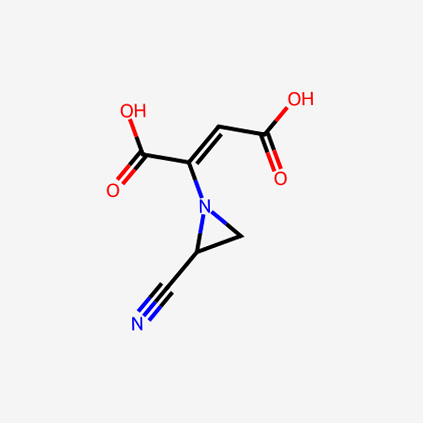 N#CC1CN1/C(=C\C(=O)O)C(=O)O